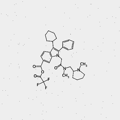 CN(CC1CCCCN1C)C(=O)Cn1c(-c2ccccc2)c(C2CCCCC2)c2ccc(C(=O)OC(=O)C(F)(F)F)cc21